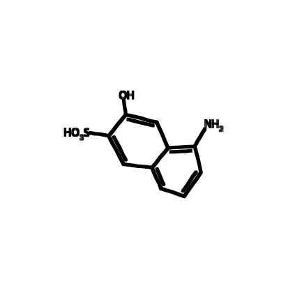 Nc1cccc2cc(S(=O)(=O)O)c(O)cc12